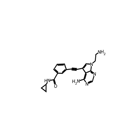 NCCn1cc(C#Cc2cccc(C(=O)NC3CC3)c2)c2c(N)ncnc21